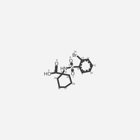 O=C(O)C1(NS(=O)(=O)c2ccccc2Br)CCCCC1